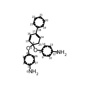 Nc1ccc(OC2(Oc3ccc(N)cc3)C=CC(c3ccccc3)=CC2)cc1